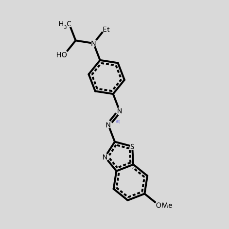 CCN(c1ccc(/N=N/c2nc3ccc(OC)cc3s2)cc1)C(C)O